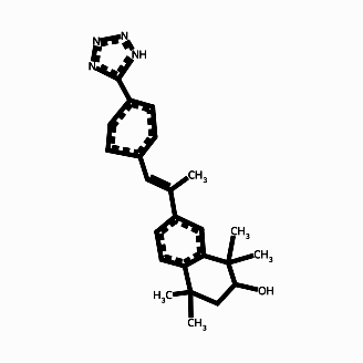 CC(=Cc1ccc(-c2nnn[nH]2)cc1)c1ccc2c(c1)C(C)(C)C(O)CC2(C)C